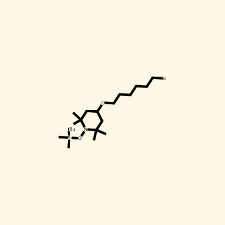 CC1(C)CC(OCCCCCCBr)CC(C)(C)N1O[Si](C)(C)C(C)(C)C